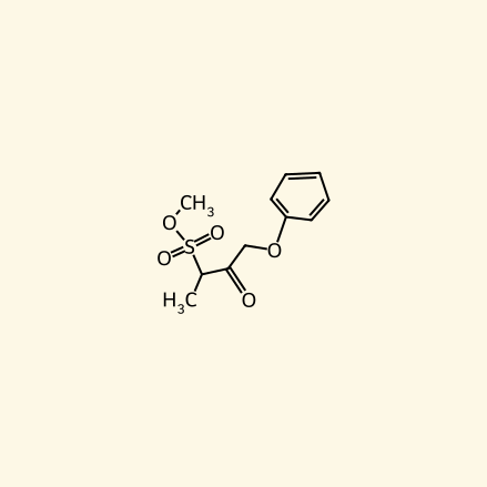 COS(=O)(=O)C(C)C(=O)COc1ccccc1